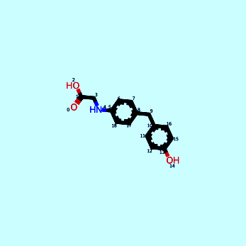 O=C(O)CNc1ccc(Cc2ccc(O)cc2)cc1